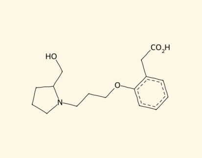 O=C(O)Cc1ccccc1OCCCN1CCCC1CO